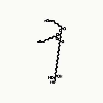 CCCCCCCCCCCCCCCC(=O)OCC(COC(=O)CCCCCCCCCCCCCCCC(O)C(O)CO)OC(=O)CCCCCCCCCCCCCCC